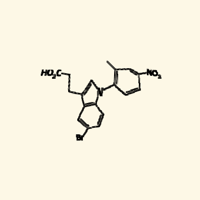 Cc1cc([N+](=O)[O-])ccc1-n1cc(CCC(=O)O)c2cc(Br)ccc21